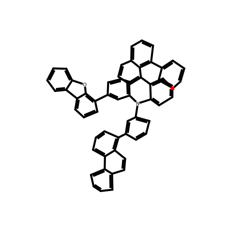 c1ccc(-c2cccc3cccc(-c4ccccc4N(c4cccc(-c5cccc6c5ccc5ccccc56)c4)c4cccc(-c5cccc6c5oc5ccccc56)c4)c23)cc1